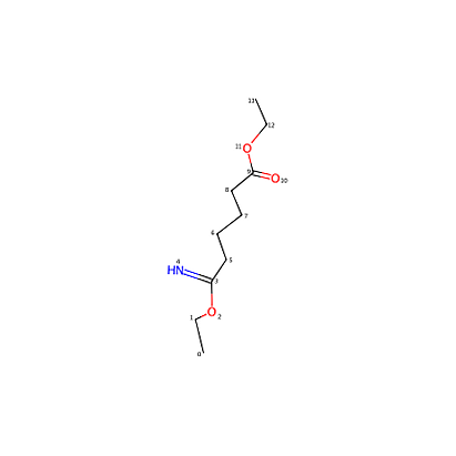 CCOC(=N)CCCCC(=O)OCC